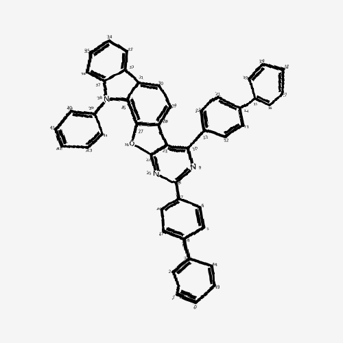 c1ccc(-c2ccc(-c3nc(-c4ccc(-c5ccccc5)cc4)c4c(n3)oc3c4ccc4c5ccccc5n(-c5ccccc5)c43)cc2)cc1